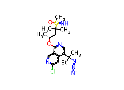 CC[C@@](C)(N=[N+]=[N-])c1cnc(O[C@H](C)CC(C)(C)S(C)(=N)=O)c2cnc(Cl)cc12